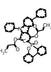 C=CC(=O)Oc1c(P2(=O)Oc3ccccc3-c3ccccc32)cc(OC(=O)C=C)c2c1c1cc(-c3ccccc3)ccc1n2-c1ccccc1